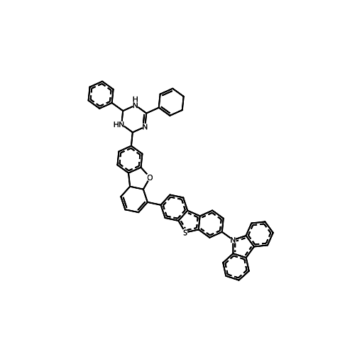 C1=CC2c3ccc(C4N=C(C5=CCCC=C5)NC(c5ccccc5)N4)cc3OC2C(c2ccc3c(c2)sc2cc(-n4c5ccccc5c5ccccc54)ccc23)=C1